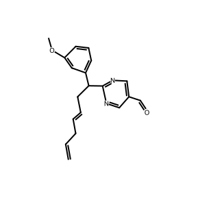 C=CCC=CCC(c1cccc(OC)c1)c1ncc(C=O)cn1